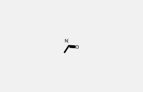 CC=O.[N]